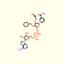 C#CCO[C@@H]1[C@H](OCC2CCCCC2)[C@@H](COP(=O)([O-])OP(=O)(O)OC[C@H]2O[C@@H](n3cnc4c(N)ncnc43)[C@H](O)[C@@H]2O)O[C@H]1[n+]1cccc(C(N)=O)c1